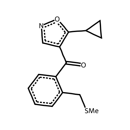 CSCc1ccccc1C(=O)c1cnoc1C1CC1